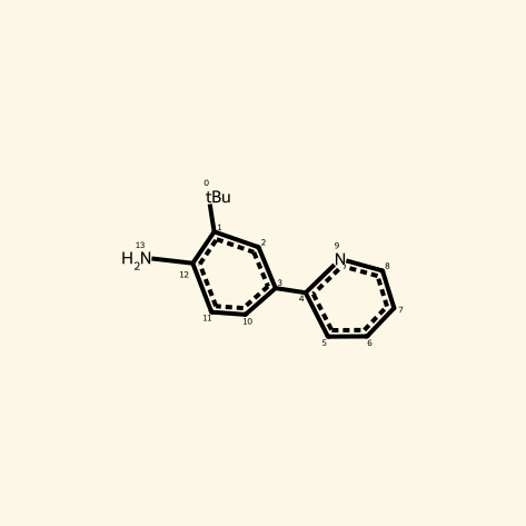 CC(C)(C)c1cc(-c2ccccn2)ccc1N